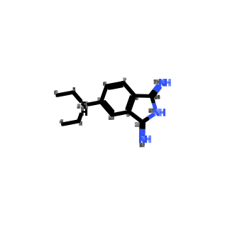 CC[SiH](CC)c1ccc2c(c1)C(=N)NC2=N